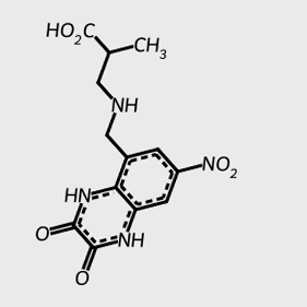 CC(CNCc1cc([N+](=O)[O-])cc2[nH]c(=O)c(=O)[nH]c12)C(=O)O